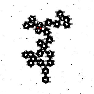 c1ccc(-c2ccc(N(c3ccc(-c4cc5ccc6ccccc6c5c5ccccc45)cc3)c3cccc(-c4cccc(-n5c6ccccc6c6c7ccccc7c(-c7cccc(-c8ccc(N(c9ccc(-c%10cc%11ccccc%11c%11ccccc%10%11)cc9)c9cccc(-c%10cccc(-n%11c%12ccccc%12c%12ccc%13ccccc%13c%12%11)c%10)c9)c(-c9ccccc9)c8)c7)cc65)c4)c3)cc2)cc1